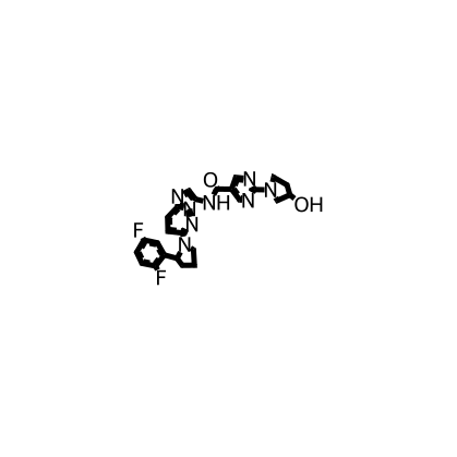 O=C(Nc1cnc2ccc(N3CCCC3c3cc(F)ccc3F)nn12)c1cnc(N2CCC(O)C2)nc1